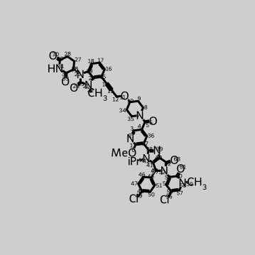 COc1ncc(C(=O)N2CCC(OCC#Cc3cccc4c3n(C)c(=O)n4[C@@H]3CCC(=O)NC3=O)CC2)cc1-c1nc2c(n1C(C)C)[C@H](c1ccc(Cl)cc1)N(c1cc(Cl)cn(C)c1=O)C2=O